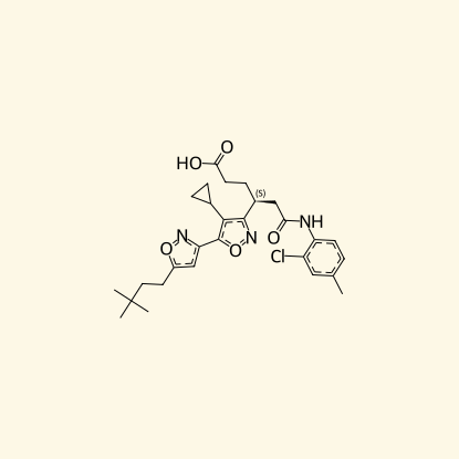 Cc1ccc(NC(=O)C[C@H](CCC(=O)O)c2noc(-c3cc(CCC(C)(C)C)on3)c2C2CC2)c(Cl)c1